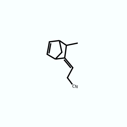 CC1/C(=C/CC#N)C2C=CC1C2